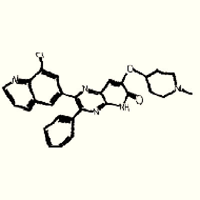 CN1CCC(Oc2cc3nc(-c4cc(Cl)c5ncccc5c4)c(-c4ccccc4)nc3[nH]c2=O)CC1